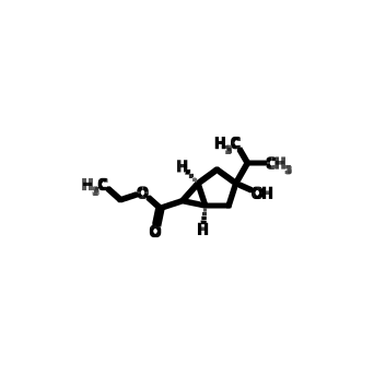 CCOC(=O)C1[C@H]2CC(O)(C(C)C)C[C@@H]12